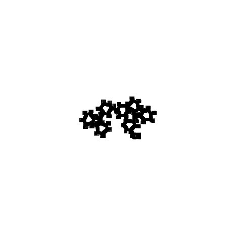 N#Cc1ccc(-c2cccc(-c3cccc(-n4c5ccccc5c5ccccc54)c3)c2)c(-n2c3ccccc3c3ccccc32)c1